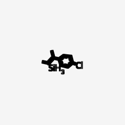 CC([SiH3])=C(C)c1ccc(Cl)cc1